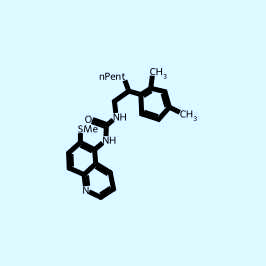 CCCCCC(CNC(=O)Nc1c(SC)ccc2ncccc12)c1ccc(C)cc1C